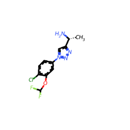 C[C@@H](N)c1cn(-c2ccc(Cl)c(OC(F)F)c2)nn1